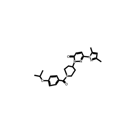 Cc1cc(C)n(-c2ccc(=O)n(C3CCN(C(=O)c4ccc(OC(C)C)cc4)CC3)n2)n1